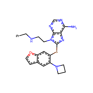 CC(C)CNCCn1c(Sc2cc3occc3cc2N2CCC2)nc2c(N)ncnc21